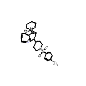 Cc1ccc(S(=O)(=O)N2CCC(C3/C=C4\C=CC=CC(=C4C(=O)N4CCCCC4)NNCC3)CC2)cc1